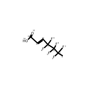 CC(F)(F)C(F)(F)C(F)(F)C=CC(=O)O